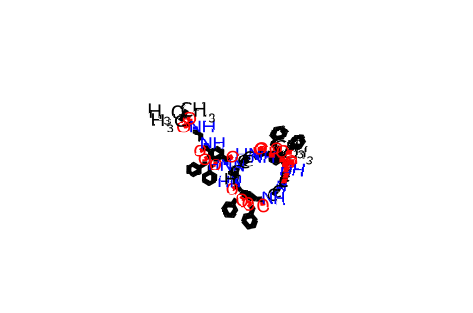 Cc1c2ccc(c1C)C(=O)NCCN1CCNC(=O)c3ccc(c(OCc4ccccc4)c3OCc3ccccc3)C(=O)NCCN(CCNC2=O)CCNC(=O)c2ccc(c(OCc3ccccc3)c2OCc2ccccc2)C(=O)N[C@@H](CCNC(=O)c2ccc(C(=O)NCCCNC(=O)OC(C)(C)C)c(OCc3ccccc3)c2OCc2ccccc2)C1